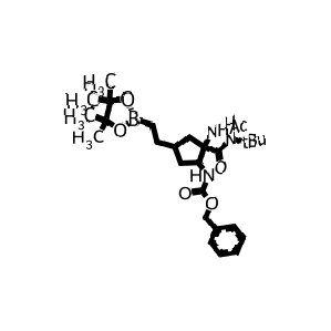 CC(=O)NC1(C(=O)NC(C)(C)C)CC(CCB2OC(C)(C)C(C)(C)O2)CC1NC(=O)OCc1ccccc1